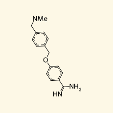 CNCc1ccc(COc2ccc(C(=N)N)cc2)cc1